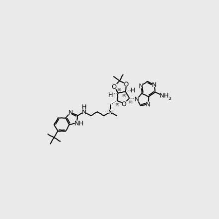 CN(CCCNc1nc2ccc(C(C)(C)C)cc2[nH]1)C[C@H]1O[C@@H](n2cnc3c(N)ncnc32)[C@@H]2OC(C)(C)O[C@@H]21